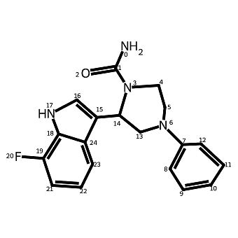 NC(=O)N1CCN(c2ccccc2)CC1c1c[nH]c2c(F)cccc12